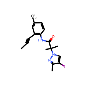 CC#Cc1cc(C(F)(F)F)ccc1NC(=O)C(C)(C)n1cc(I)c(C)n1